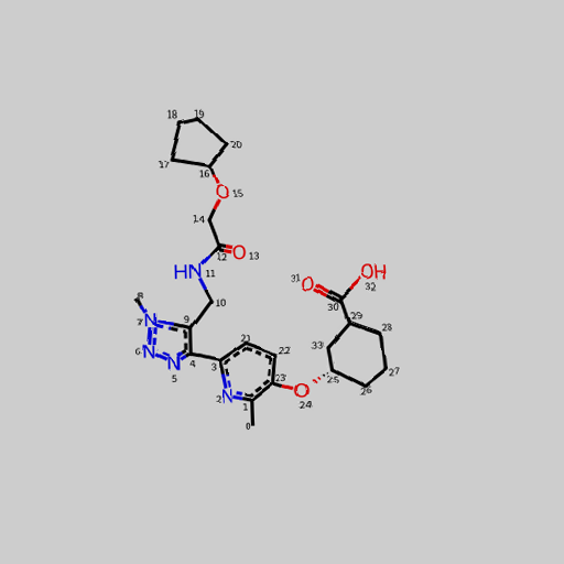 Cc1nc(-c2nnn(C)c2CNC(=O)COC2CCCC2)ccc1O[C@H]1CCCC(C(=O)O)C1